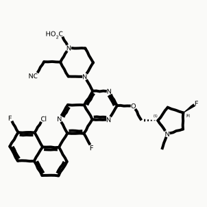 CN1C[C@H](F)C[C@H]1COc1nc(N2CCN(C(=O)O)C(CC#N)C2)c2cnc(-c3cccc4ccc(F)c(Cl)c34)c(F)c2n1